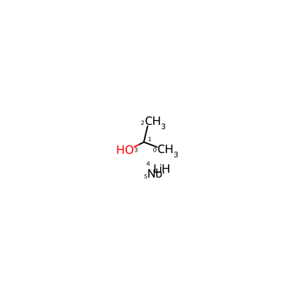 CC(C)O.[LiH].[Nb]